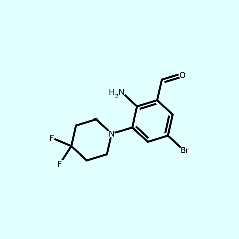 Nc1c(C=O)cc(Br)cc1N1CCC(F)(F)CC1